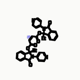 CCC1(OC(=O)/C=C\C(=O)OC2(CC)c3ccccc3C(=O)N2c2ccncc2)c2ccccc2C(=O)N1c1ccncc1